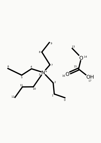 CCC[N+](CCC)(CCC)CCC.COC(=O)O